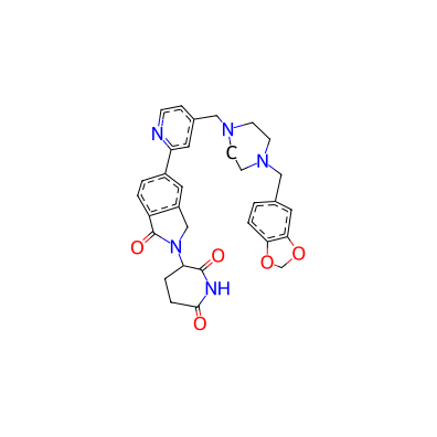 O=C1CCC(N2Cc3cc(-c4cc(CN5CCN(Cc6ccc7c(c6)OCO7)CC5)ccn4)ccc3C2=O)C(=O)N1